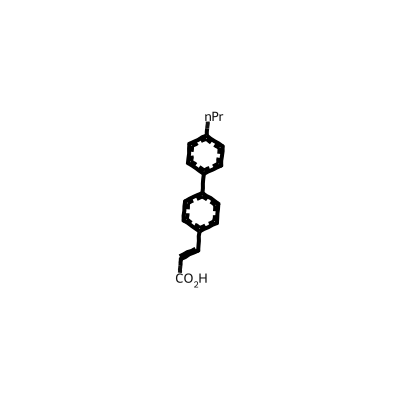 CCCc1ccc(-c2ccc(C=CC(=O)O)cc2)cc1